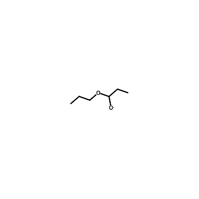 CCCOC([O])CC